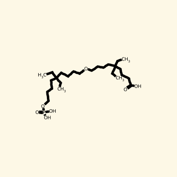 CCC(CC)(CCCCOCCCCC(CC)(CC)CCCC(=O)O)CCCCOP(=O)(O)O